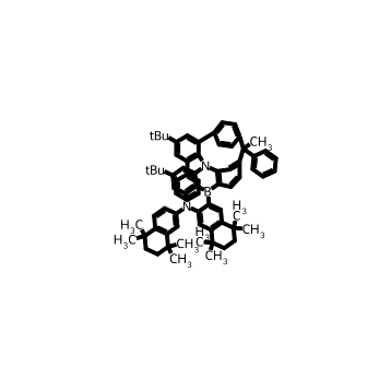 CC(C)(C)c1cc(-c2ccccc2)c2c(c1)-c1ccc(cc1)C(C)(c1ccccc1)c1ccc3c(c1)N2c1cc(C(C)(C)C)cc2c1B3c1cc3c(cc1N2c1ccc2c(c1)C(C)(C)CCC2(C)C)C(C)(C)CCC3(C)C